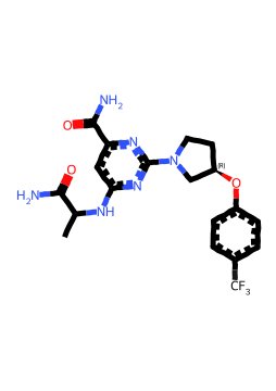 CC(Nc1cc(C(N)=O)nc(N2CC[C@@H](Oc3ccc(C(F)(F)F)cc3)C2)n1)C(N)=O